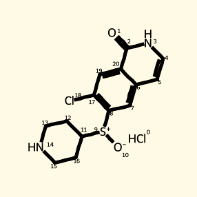 Cl.O=c1[nH]ccc2cc([S+]([O-])C3CCNCC3)c(Cl)cc12